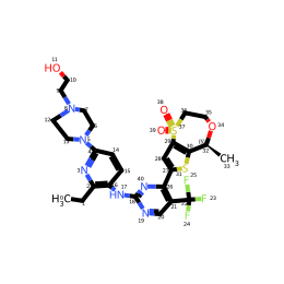 CCc1nc(N2CCN(CCO)CC2)ccc1Nc1ncc(C(F)(F)F)c(-c2cc3c(s2)[C@H](C)OCCS3(=O)=O)n1